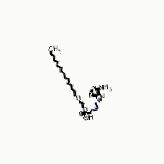 CCCCCCCCCCCCCCCCOCCCOP(=O)(O)CC/C=C\Cn1cnc2c(N)ncnc21